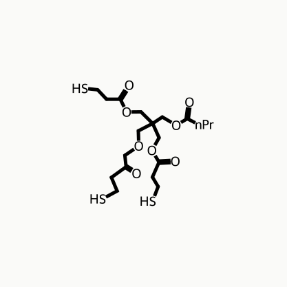 CCCC(=O)OCC(COCC(=O)CCS)(COC(=O)CCS)COC(=O)CCS